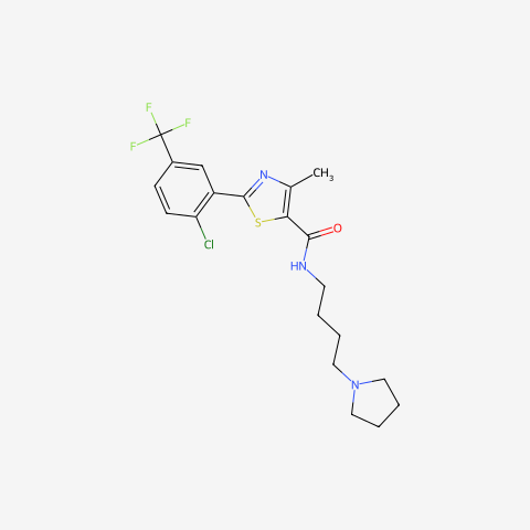 Cc1nc(-c2cc(C(F)(F)F)ccc2Cl)sc1C(=O)NCCCCN1CCCC1